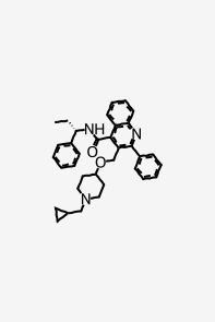 CC[C@H](NC(=O)c1c(COC2CCN(CC3CC3)CC2)c(-c2ccccc2)nc2ccccc12)c1ccccc1